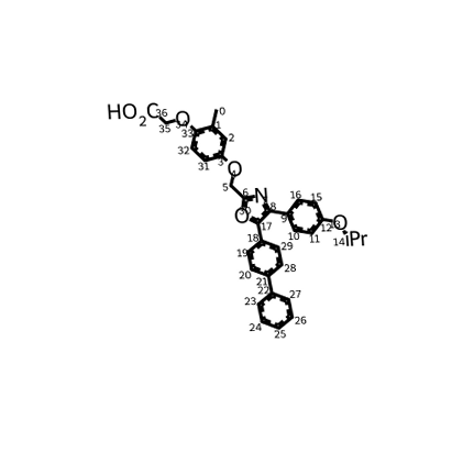 Cc1cc(OCc2nc(-c3ccc(OC(C)C)cc3)c(-c3ccc(-c4ccccc4)cc3)o2)ccc1OCC(=O)O